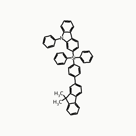 CC1(C)c2ccccc2-c2ccc(-c3ccc([Si](c4ccccc4)(c4ccccc4)c4ccc5c6ccccc6n(-c6ccccc6)c5c4)cc3)cc21